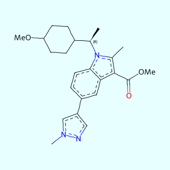 COC(=O)c1c(C)n([C@H](C)C2CCC(OC)CC2)c2ccc(-c3cnn(C)c3)cc12